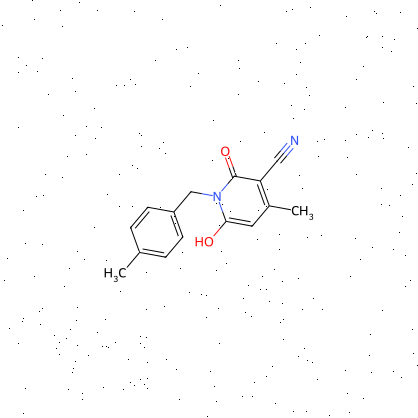 Cc1ccc(Cn2c(O)cc(C)c(C#N)c2=O)cc1